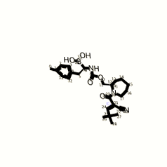 Cc1ccc(C[C@H](NC(=O)OC[C@H]2CCCCCN2C(=O)/C(C#N)=C/C(C)(C)C)B(O)O)cc1